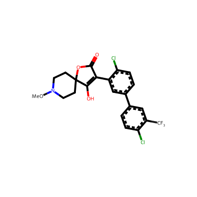 CON1CCC2(CC1)OC(=O)C(c1cc(-c3ccc(Cl)c(C(F)(F)F)c3)ccc1Cl)=C2O